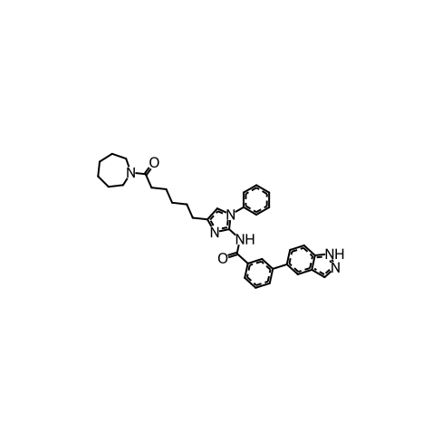 O=C(Nc1nc(CCCCCC(=O)N2CCCCCC2)cn1-c1ccccc1)c1cccc(-c2ccc3[nH]ncc3c2)c1